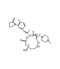 C/C(=C\c1ccc(C)c(N2CCCC2=O)c1)[C@H]1OC(=O)C[C@H](O)CC[C@H](C)[C@@H](C2CN(C)CCN2C(=O)O)/C=C/[C@@H]1C